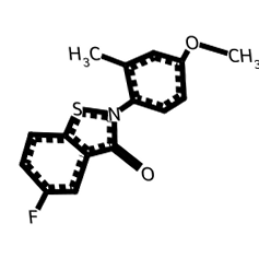 COc1ccc(-n2sc3ccc(F)cc3c2=O)c(C)c1